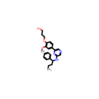 CCCC(Nc1cncc(-c2ccc(OCCCO)c(OC)c2)n1)c1ccccc1